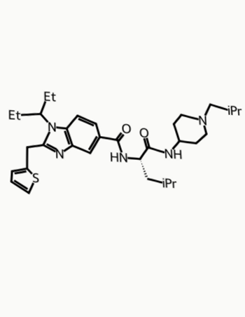 CCC(CC)n1c(Cc2cccs2)nc2cc(C(=O)N[C@@H](CC(C)C)C(=O)NC3CCN(CC(C)C)CC3)ccc21